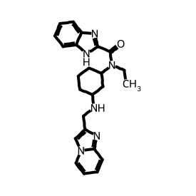 CCN(C(=O)c1nc2ccccc2[nH]1)C1CCCC(NCc2cn3ccccc3n2)C1